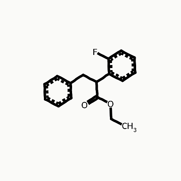 CCOC(=O)C(Cc1ccccc1)c1ccccc1F